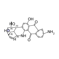 C[C@@H]1/C=C\C#C[C@@H]2Nc3c(cc(O)c4c3C(=O)c3ccc(N)cc3C4=O)[C@@]1(O)C2[C@@H](C)O